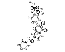 CCOP(=O)(Cc1ccc(-c2oc3cc(OCc4ccccc4)ccc3c(=O)c2Cl)cc1)OCC